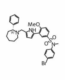 COc1ccc(S(=O)(=O)N(C)c2ccc(Br)cc2)cc1-c1ccc(CN2CCCCC[C@@H]2c2ccccc2)[nH]1